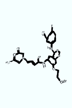 COCCOc1cc2ncnc(Nc3ccc(F)c(Cl)c3)c2cc1NC(=O)/C=C/CN1CC(=O)O[C@H](C)C1